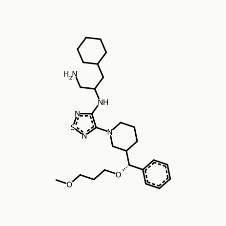 COCCCO[C@@H](c1ccccc1)C1CCCN(c2nsnc2NC(CN)CC2CCCCC2)C1